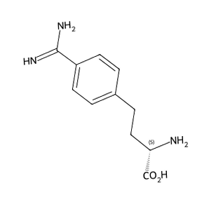 N=C(N)c1ccc(CC[C@H](N)C(=O)O)cc1